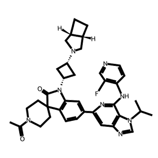 CC(=O)N1CCC2(CC1)C(=O)N([C@H]1C[C@@H](N3C[C@H]4CC[C@H]4C3)C1)c1cc(-c3cc4ncn(C(C)C)c4c(Nc4ccncc4F)n3)ccc12